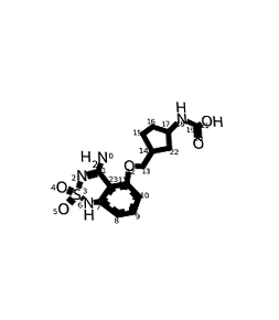 NC1=NS(=O)(=O)Nc2cccc(OCC3CCC(NC(=O)O)C3)c21